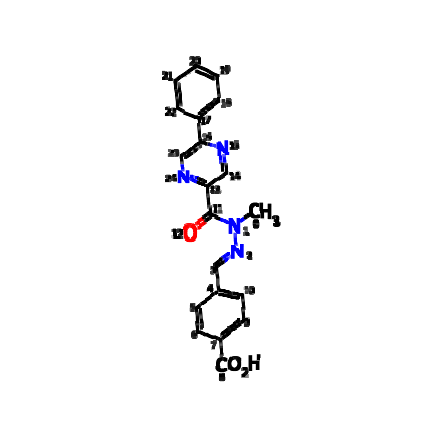 CN(N=Cc1ccc(C(=O)O)cc1)C(=O)c1cnc(-c2ccccc2)cn1